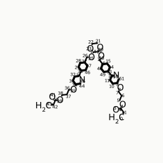 C=CC(=O)OCCCOc1ccc(-c2ccc(CO[C@@H]3OCCO[C@H]3OCc3ccc(-c4ccc(OCCCOC(=O)C=C)cn4)cc3)cc2)nc1